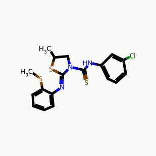 CSc1ccccc1N=C1SC(C)CN1C(=S)Nc1cccc(Cl)c1